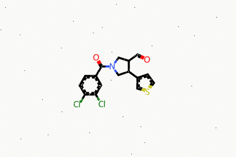 O=CC1CN(C(=O)c2ccc(Cl)c(Cl)c2)CC1c1ccsc1